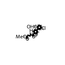 COC(=O)CCNC(=O)c1ccc(-c2cc(Cl)ccc2C=O)cc1F